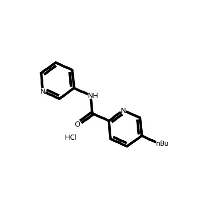 CCCCc1ccc(C(=O)Nc2cccnc2)nc1.Cl